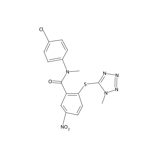 CN(C(=O)c1cc([N+](=O)[O-])ccc1Sc1nnnn1C)c1ccc(Cl)cc1